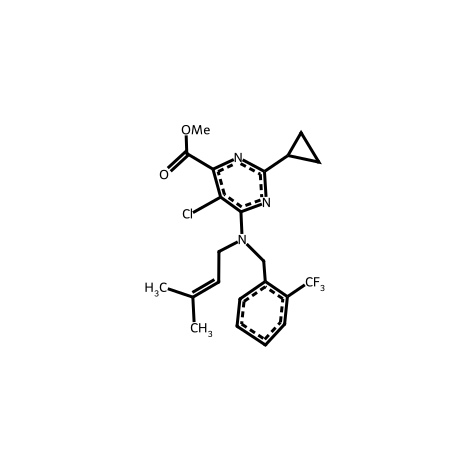 COC(=O)c1nc(C2CC2)nc(N(CC=C(C)C)Cc2ccccc2C(F)(F)F)c1Cl